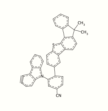 CC1(C)c2ccccc2-c2c1ccc1c2sc2ccc(-c3ccc(C#N)cc3-n3c4ccc#cc4c4ccccc43)cc21